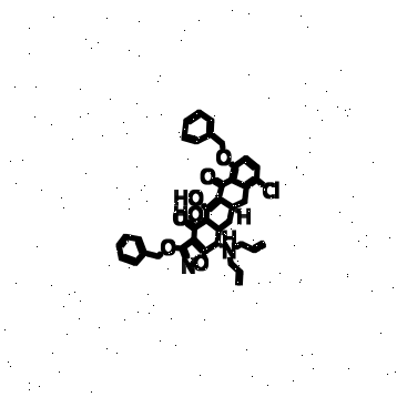 C=CCN(CC=C)[C@@H]1c2onc(OCc3ccccc3)c2C(=O)[C@@]2(O)C(O)=C3C(=O)c4c(OCc5ccccc5)ccc(Cl)c4C[C@H]3C[C@@H]12